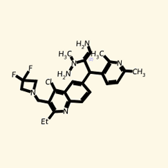 CCc1nc2ccc(C(/C(=C/N)N(C)N)c3ccc(C)nc3C)cc2c(Cl)c1CN1CC(F)(F)C1